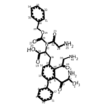 CC(N)C(=O)c1c(-c2ccccc2)ccc(CC(C(=O)O)N(C(=O)CN)C(=O)OCc2ccccc2)c1C(=O)CN